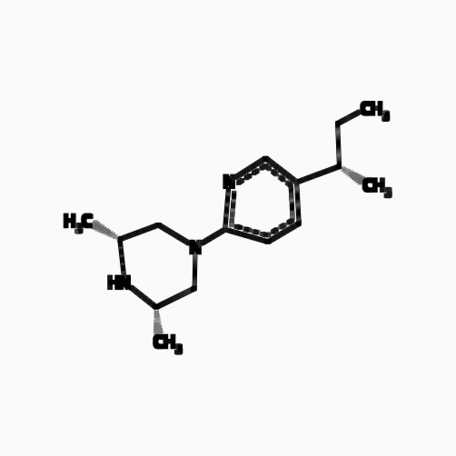 CC[C@H](C)c1ccc(N2C[C@@H](C)N[C@@H](C)C2)nc1